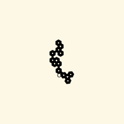 c1cc(-c2cc3c4ccccc4ccc3c3ccccc23)cc(-c2ccc3ccc4c(-c5ccc6oc7cc8c9ccccc9c9ccccc9c8cc7c6c5)ccc5ccc2c3c54)c1